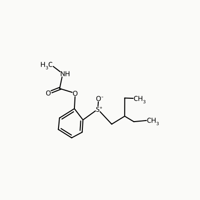 CCC(CC)C[S+]([O-])c1ccccc1OC(=O)NC